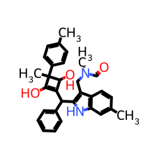 Cc1ccc(C2(C)C(O)=C(C(c3ccccc3)c3[nH]c4cc(C)ccc4c3CN(C)C=O)C2O)cc1